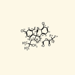 CC(C)(C)C[C@@H]1N[C@@H](C(=O)OC(=O)C(F)(F)F)[C@H](c2cccc(Cl)c2)[C@@]1(C#N)c1c(F)cc(Cl)cc1F